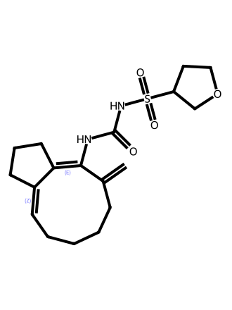 C=C1CCCC/C=C2/CCC/C2=C/1NC(=O)NS(=O)(=O)C1CCOC1